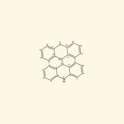 c1ccc2c(c1)Nc1ccccc1O2.c1ccc2c(c1)Oc1ccccc1S2